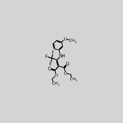 CCOC(=O)C(C(=O)OCC)=C(Nc1cccc(OC)c1)C(F)(F)F